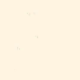 CC(=O)NCC1Cc2nc(C3CC3)ccc2N(c2ccc(C(F)(F)F)cc2)C1